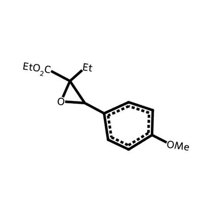 CCOC(=O)C1(CC)OC1c1ccc(OC)cc1